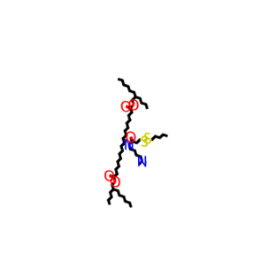 CCCCCCC(CCCC)COC(=O)CCCCCCCCC(CCCCCCCCC(=O)OCC(CCCC)CCCCCC)N(CCCCN(C)C)C(=O)CCSSCCCCC